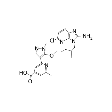 Cc1cc(C(=O)O)cc(-c2cnn(C)c2OCCCC(C)Cn2c(N)nc3ccc(Cl)nc32)n1